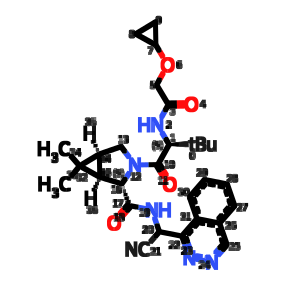 CC(C)(C)[C@H](NC(=O)COC1CC1)C(=O)N1C[C@H]2[C@@H]([C@H]1C(=O)NC(C#N)c1nncc3ccccc13)C2(C)C